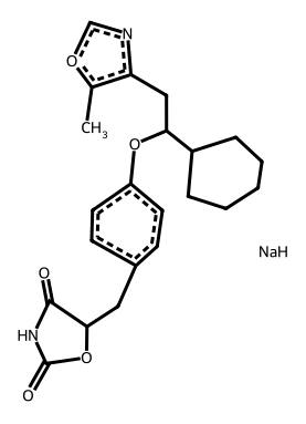 Cc1ocnc1CC(Oc1ccc(CC2OC(=O)NC2=O)cc1)C1CCCCC1.[NaH]